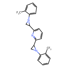 FC(F)(F)c1ccccc1N1CC1c1cccc(C2CN2c2ccccc2C(F)(F)F)n1